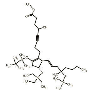 CCCCC(C)(C/C=C/[C@@H]1C(CCC#CC(O)CCC(=O)OC)=C(O[Si](C)(C)C(C)(C)C)C[C@H]1O[Si](CC)(CC)CC)O[Si](C)(C)C